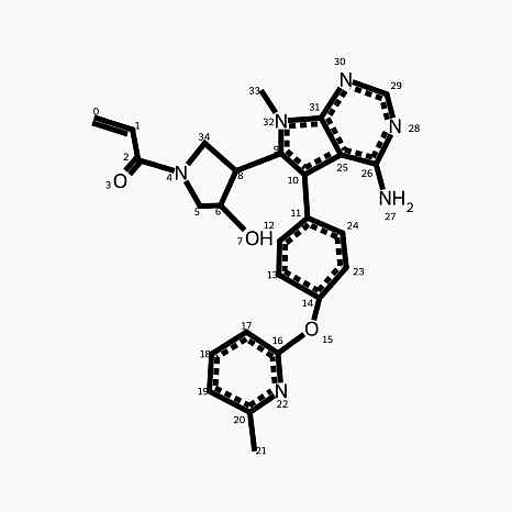 C=CC(=O)N1CC(O)C(c2c(-c3ccc(Oc4cccc(C)n4)cc3)c3c(N)ncnc3n2C)C1